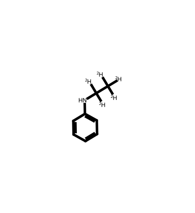 [2H]C([2H])([2H])C([2H])([2H])Nc1ccccc1